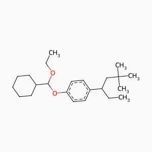 CCOC(Oc1ccc(C(CC)CC(C)(C)C)cc1)C1CCCCC1